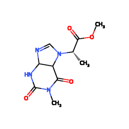 COC(=O)[C@H](C)N1C=NC2NC(=O)N(C)C(=O)C21